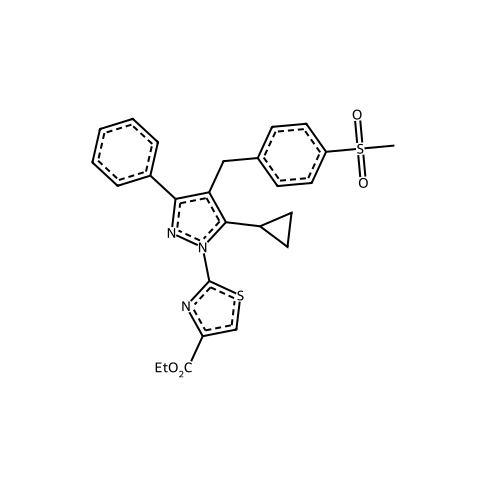 CCOC(=O)c1csc(-n2nc(-c3ccccc3)c(Cc3ccc(S(C)(=O)=O)cc3)c2C2CC2)n1